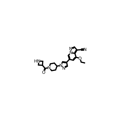 CCOc1cc(-c2cnn(C3CCN(C(=O)C4CNC4)CC3)c2)cn2ncc(C#N)c12